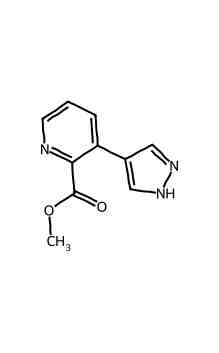 COC(=O)c1ncccc1-c1cn[nH]c1